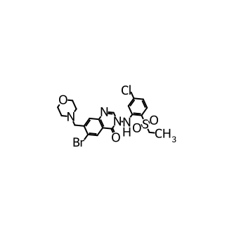 CCS(=O)(=O)c1ccc(Cl)cc1Nn1cnc2cc(CN3CCOCC3)c(Br)cc2c1=O